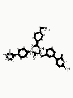 Cc1nc(O)ccc1-c1cccc(C[C@H](NC(=O)C2CCC(CN)CC2)C(=O)Nc2ccc(-c3nnn[nH]3)cc2)c1